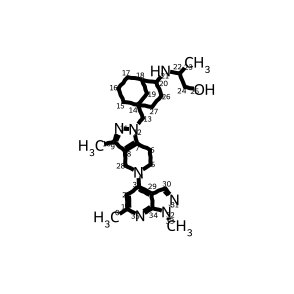 Cc1cc(N2CCc3c(c(C)nn3CC34CCCC(C3)C(NC(C)CO)CC4)C2)c2cnn(C)c2n1